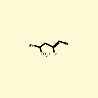 CC(C)C(C/C(Br)=C/Br)C(=O)O